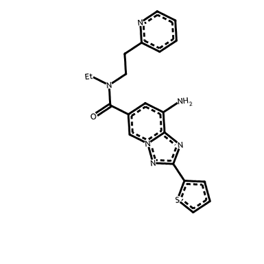 CCN(CCc1ccccn1)C(=O)c1cc(N)c2nc(-c3cccs3)nn2c1